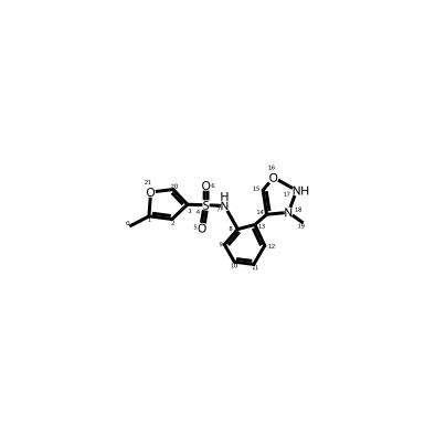 Cc1cc(S(=O)(=O)Nc2ccccc2C2=CONN2C)co1